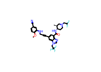 COc1ccc(C#N)cc1NCC#Cc1cc(C(=O)N[C@H]2CCN(CC(F)F)C[C@@H]2C)c2ncn(CC(F)(F)F)c2c1